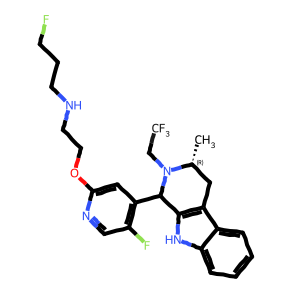 C[C@@H]1Cc2c([nH]c3ccccc23)C(c2cc(OCCNCCCF)ncc2F)N1CC(F)(F)F